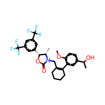 COc1ccc(C(C)O)cc1C1=C(CN2C(=O)O[C@H](c3cc(C(F)(F)F)cc(C(F)(F)F)c3)[C@@H]2C)CCCC1